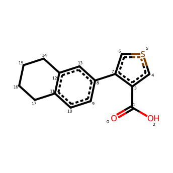 O=C(O)c1cscc1-c1ccc2c(c1)CCCC2